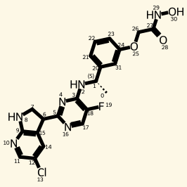 C[C@H](Nc1nc(C2CNc3ncc(Cl)cc32)ncc1F)c1cccc(OCC(=O)NO)c1